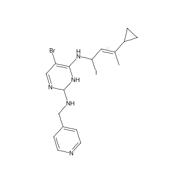 C/C(=C\C(I)NC1=C(Br)C=NC(NCc2ccncc2)N1)C1CC1